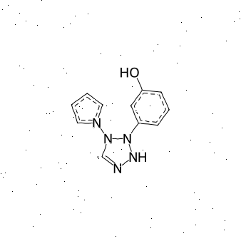 Oc1cccc(N2NN=[C]N2n2cccc2)c1